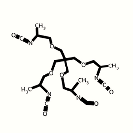 CC(COCC(COCC(C)N=C=O)(COCC(C)N=C=O)COCC(C)N=C=O)N=C=O